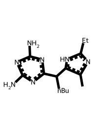 CCCCC(c1nc(N)nc(N)n1)c1[nH]c(CC)nc1C